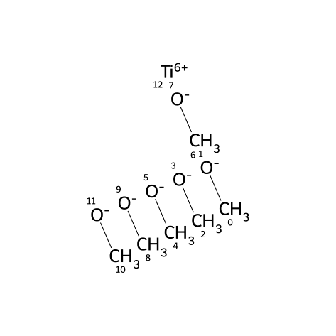 C[O-].C[O-].C[O-].C[O-].C[O-].C[O-].[Ti+6]